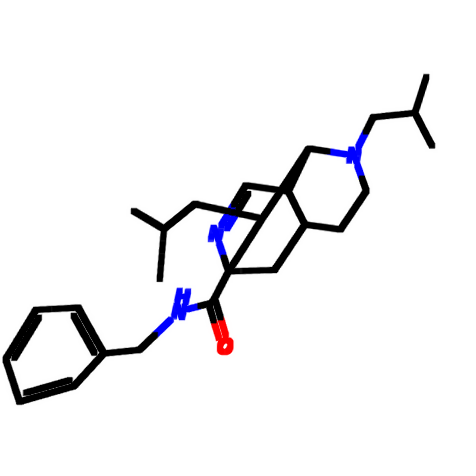 CC(C)CC1C2C3C=NC1(C(=O)NCc1ccccc1)CC3CCN2CC(C)C